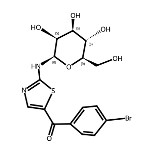 O=C(c1ccc(Br)cc1)c1cnc(N[C@@H]2O[C@H](CO)[C@@H](O)[C@H](O)[C@@H]2O)s1